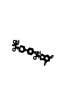 CC(C)(O)C(=O)N1CC=C(c2ccc(NC(=O)N3Cc4cc(F)cc(F)c4C3)cc2)CC1